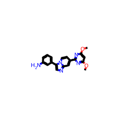 COc1cc(OC)nc(-c2ccn3c(-c4cccc(N)c4)cnc3c2)n1